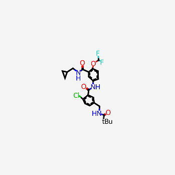 CC(C)(C)C(=O)NCc1ccc(Cl)c(C(=O)Nc2ccc(OC(F)F)c(C(=O)NCC3CC3)c2)c1